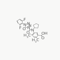 Cc1cc(C)c(N(C(=O)n2nnn(-c3c(F)cccc3F)c2=O)C2CCCC2)cc1C(=O)O